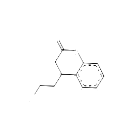 O=C1CC(CCO)c2ccccc2N1